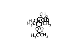 CC(ON1C(C)(C)CC2(CC1(C)C)OCC(C)(C)CO2)c1ccccc1